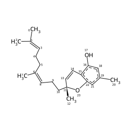 CC(C)=CCCC(C)=CCC[C@]1(C)C=Cc2c(O)cc(C)cc2O1